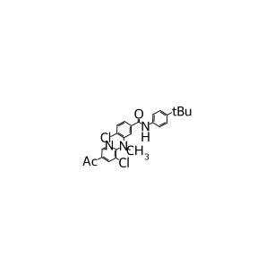 CC(=O)c1cnc(N(C)c2cc(C(=O)Nc3ccc(C(C)(C)C)cc3)ccc2Cl)c(Cl)c1